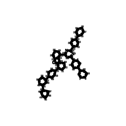 c1ccc(-c2ccc(-c3nc(-c4ccc(-c5ccccc5)cc4)nc(-c4cccc5oc6c(-c7ccc(-c8cccc(-c9ccccc9)c8)cc7)cccc6c45)n3)cc2)cc1